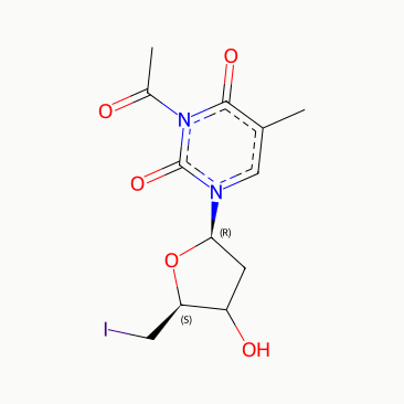 CC(=O)n1c(=O)c(C)cn([C@H]2CC(O)[C@@H](CI)O2)c1=O